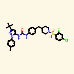 Cc1ccc(-n2nc(C(C)(C)C)cc2NC(=O)Nc2ccc(CC3CCN(S(=O)(=O)c4ccc(Cl)cc4Cl)CC3)cc2)cc1